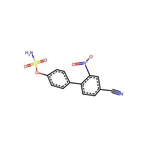 N#Cc1ccc(-c2ccc(OS(N)(=O)=O)cc2)c([N+](=O)[O-])c1